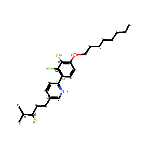 CCCCCCCCOc1ccc(-c2ccc(CCC(F)C(C)C)cn2)c(F)c1F